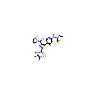 CC[C@H](Nc1cc(C)c(-c2sc(C(=O)N[C@H](C)[C@H](C)O)nc2C(=O)N2CCC[C@@H]2C)cn1)C(F)(F)F